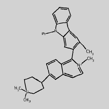 Cc1cc2c3ccccc3n(C(C)C)c2cc1-c1c2ccc(C3CC[Si](C)(C)CC3)cc2cc[n+]1C